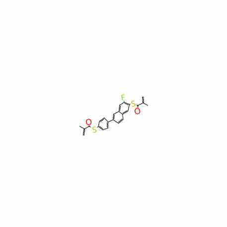 C=C(C)C(=O)Sc1ccc(-c2ccc3cc(SC(=O)C(=C)C)c(F)cc3c2)cc1